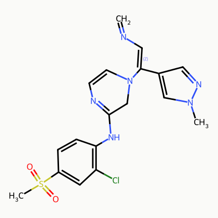 C=N/C=C(/c1cnn(C)c1)N1C=CN=C(Nc2ccc(S(C)(=O)=O)cc2Cl)C1